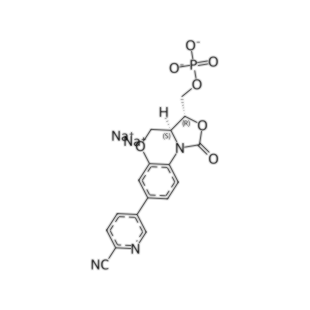 N#Cc1ccc(-c2ccc3c(c2)OC[C@H]2[C@H](COP(=O)([O-])[O-])OC(=O)N32)cn1.[Na+].[Na+]